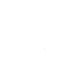 CN(Cc1ccc(F)cc1)C(=O)c1ccc(I)cc1